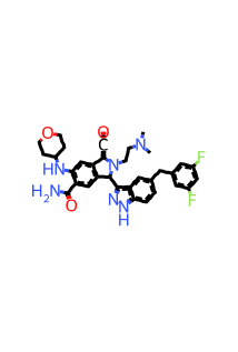 CN(C)CCN1C(=C=O)c2cc(NC3CCOCC3)c(C(N)=O)cc2C1c1n[nH]c2ccc(Cc3cc(F)cc(F)c3)cc12